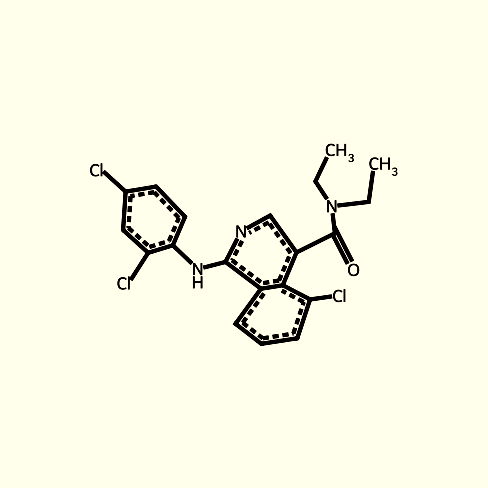 CCN(CC)C(=O)c1cnc(Nc2ccc(Cl)cc2Cl)c2cccc(Cl)c12